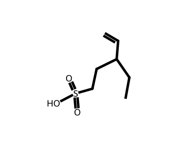 C=CC(CC)CCS(=O)(=O)O